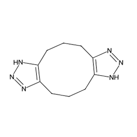 C1Cc2nn[nH]c2CCCc2nn[nH]c2C1